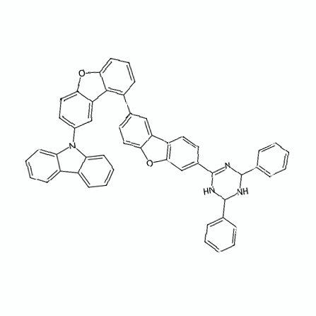 c1ccc(C2N=C(c3ccc4c(c3)oc3ccc(-c5cccc6oc7ccc(-n8c9ccccc9c9ccccc98)cc7c56)cc34)NC(c3ccccc3)N2)cc1